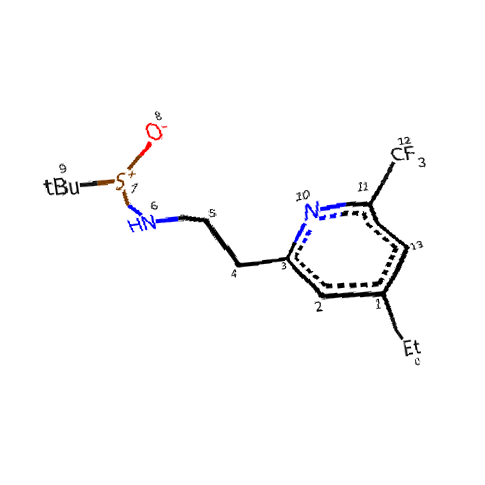 CCc1cc(CCN[S+]([O-])C(C)(C)C)nc(C(F)(F)F)c1